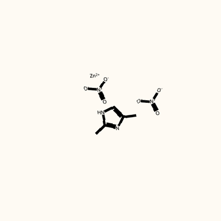 Cc1c[nH]c(C)n1.O=[N+]([O-])[O-].O=[N+]([O-])[O-].[Zn+2]